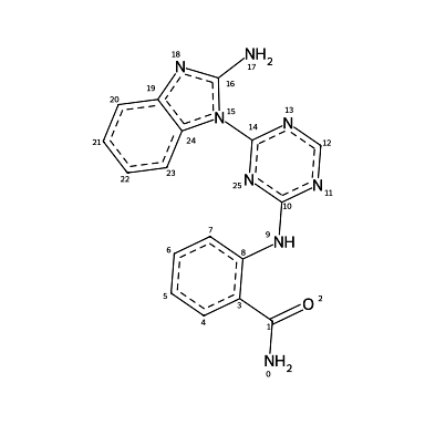 NC(=O)c1ccccc1Nc1ncnc(-n2c(N)nc3ccccc32)n1